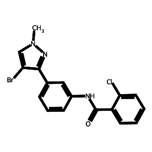 Cn1cc(Br)c(-c2cccc(NC(=O)c3ccccc3Cl)c2)n1